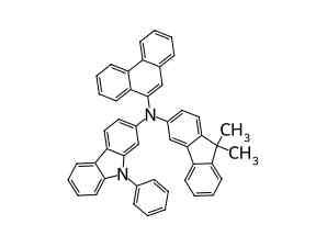 CC1(C)c2ccccc2-c2cc(N(c3ccc4c5ccccc5n(-c5ccccc5)c4c3)c3cc4ccccc4c4ccccc34)ccc21